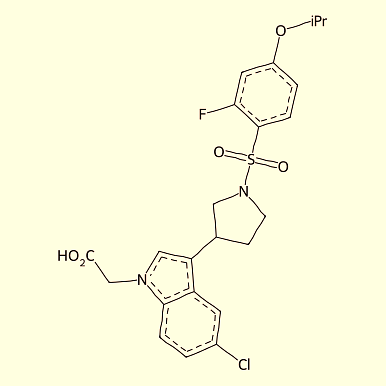 CC(C)Oc1ccc(S(=O)(=O)N2CCC(c3cn(CC(=O)O)c4ccc(Cl)cc34)C2)c(F)c1